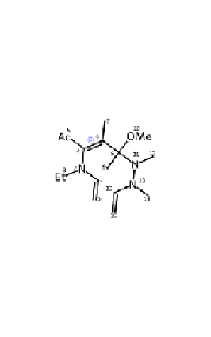 C=CN(CC)/C(C(C)=O)=C(/C)C(C)(OC)N(C)N(C)C=C